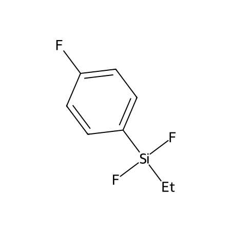 CC[Si](F)(F)c1ccc(F)cc1